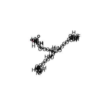 O=C(CCOCC(COCCC(=O)NCCOCCOCCOCCOC[C@@]12CO[C@@H](O1)[C@H](Nc1cncc(C(F)(F)F)n1)[C@@H](O)[C@H]2O)NCC(=O)NCCOCCOCCNC(=O)c1ccc(CNc2nc(NCC3CCCCC3)nc(NC3CC4CCC3C4)n2)cc1)NCCOCCOCCOCCOC[C@@]12CO[C@@H](O1)[C@H](Nc1cncc(C(F)(F)F)n1)[C@@H](O)[C@H]2O